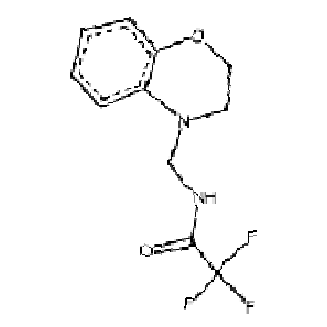 O=C(NCN1CCOc2ccccc21)C(F)(F)F